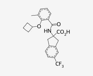 Cc1cccc(C(=O)NC2(C(=O)O)Cc3ccc(C(F)(F)F)cc3C2)c1OC1CCC1